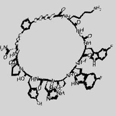 NCCCC[C@@H]1NC(=O)CCOCc2cccc(c2)COC[C@@H](C(N)=O)NC(=O)[C@@H]2CCCN2C(O)[C@H](Cc2ccc(O)cc2)NC(=O)[C@H](Cc2c[nH]cn2)NC(=O)[C@H](CC(=O)O)NC(=O)[C@H](Cc2c[nH]c3ccc(F)cc23)NC(=O)[C@H](Cc2c[nH]c3ccc(F)cc23)NC(=O)CNC1=O